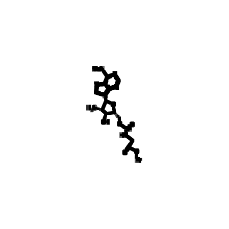 CNc1ncnc2c1ncn2[C@@H]1O[C@H](CO[PH](=O)NCC(=O)OC(C)C)[C@@H](O)[C@@H]1C